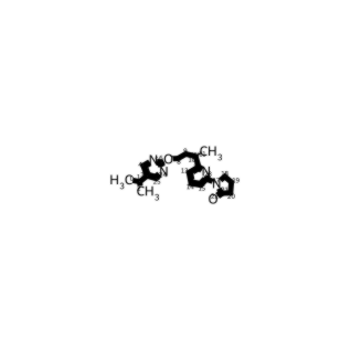 CC(C)c1cnc(OCC[C@H](C)c2cccc(N3CCCC3=O)n2)nc1